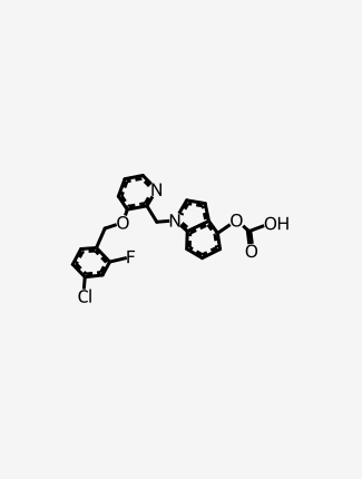 O=C(O)Oc1cccc2c1ccn2Cc1ncccc1OCc1ccc(Cl)cc1F